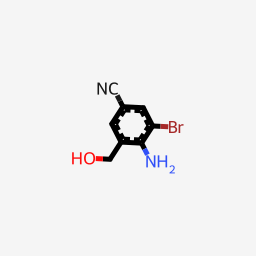 N#Cc1cc(Br)c(N)c(CO)c1